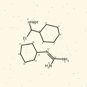 CCCCCCCC(CC)C1CCCCC1.NC(N)=NC1CCCCC1